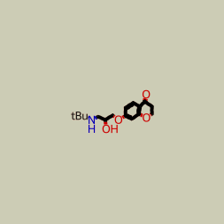 CC(C)(C)NCC(O)COc1ccc2c(c1)OCCC2=O